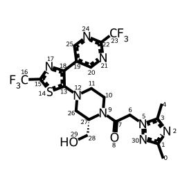 Cc1nc(C)n(CC(=O)N2CCN(c3sc(C(F)(F)F)nc3-c3cnc(C(F)(F)F)nc3)C[C@H]2CO)n1